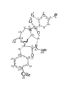 CCc1cc(Br)ccc1S(=O)(=O)N1CCC(=O)N2C(Cc3ccc(OC)cc3)C(=O)N(C(C)C)CC21